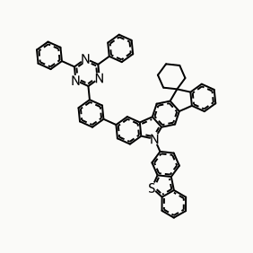 c1ccc(-c2nc(-c3ccccc3)nc(-c3cccc(-c4ccc5c(c4)c4cc6c(cc4n5-c4ccc5c(c4)sc4ccccc45)-c4ccccc4C64CCCCC4)c3)n2)cc1